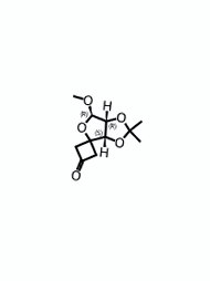 CO[C@@H]1OC2(CC(=O)C2)[C@H]2OC(C)(C)O[C@@H]12